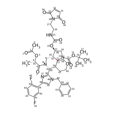 CC(=O)O[C@@H](C)C(=O)N(C[C@H]1CN(C(=O)OC(C)(C)C)C[C@@H]1OC(=O)NCCN1C(=O)C=CC1=O)[C@@H](c1nc(-c2cc(F)ccc2F)cn1Cc1ccccc1)C1CCOCC1